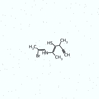 C#CC(C)/C(S)=C(\C)NC=C(C)Br